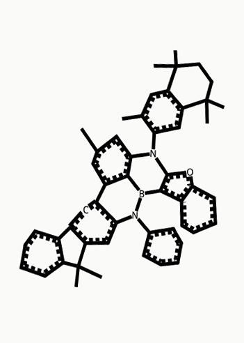 Cc1cc2c3c(c1)N(c1cc4c(cc1C)C(C)(C)CCC4(C)C)c1oc4ccccc4c1B3N(c1ccccc1)c1cc3c(cc1-2)-c1ccccc1C3(C)C